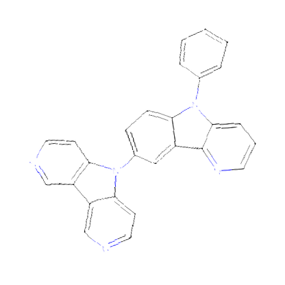 c1ccc(-n2c3ccc(-n4c5ccncc5c5cnccc54)cc3c3ncccc32)cc1